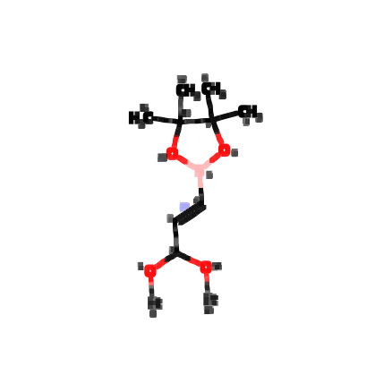 CCOC(/C=C/B1OC(C)(C)C(C)(C)O1)OCC